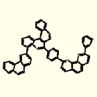 c1ccc(-c2ccc3ccc4ccc(-c5ccc(-c6nc7c(-c8ccc9ccc%10ccccc%10c9c8)cccc7c7c6ccc6ccccc67)cc5)nc4c3n2)cc1